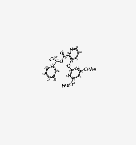 COc1cc(OC)nc(Oc2cccnc2C(=O)OC(Cl)c2ccccc2)n1